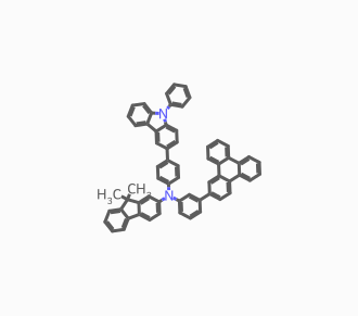 CC1(C)c2ccccc2-c2ccc(N(c3ccc(-c4ccc5c(c4)c4ccccc4n5-c4ccccc4)cc3)c3cccc(-c4ccc5c6ccccc6c6ccccc6c5c4)c3)cc21